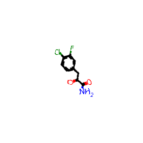 NC(=O)C(=O)Cc1ccc(Cl)c(F)c1